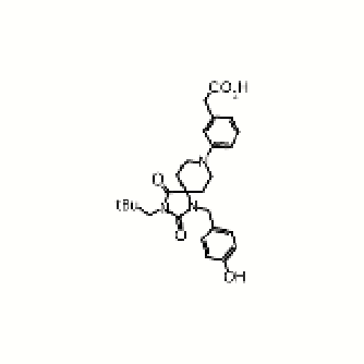 CC(C)(C)CN1C(=O)N(Cc2ccc(O)cc2)C2(CCN(c3cccc(CC(=O)O)c3)CC2)C1=O